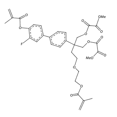 C=C(C)C(=O)OCCOCCC(COC(=O)C(=O)OC)(COC(=O)C(=O)OC)c1ccc(-c2ccc(OC(=O)C(=C)C)c(F)c2)cc1